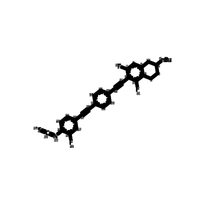 CCCCC1CCc2c(cc(F)c(C#Cc3ccc(C#Cc4ccc(N=C=S)c(F)c4)cc3)c2F)C1